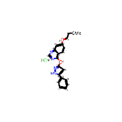 COCCOc1ccc2c(Oc3cc(-c4ccccc4)[nH]n3)ncnc2c1.Cl